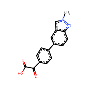 Cn1cc2cc(-c3ccc(C(=O)C(=O)O)cc3)ccc2n1